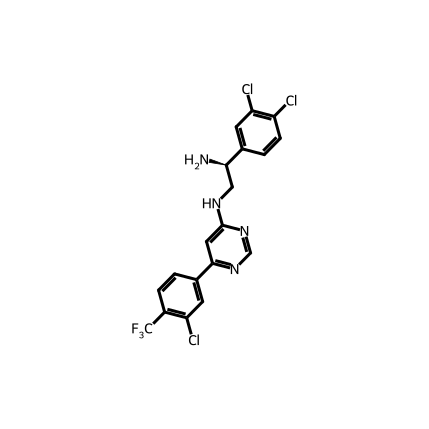 N[C@H](CNc1cc(-c2ccc(C(F)(F)F)c(Cl)c2)ncn1)c1ccc(Cl)c(Cl)c1